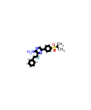 CC(C)S(=O)(=O)c1ccc(-c2cnc(N)c(/C(F)=C/c3ccccc3)n2)cc1